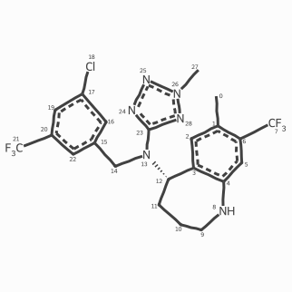 Cc1cc2c(cc1C(F)(F)F)NCCC[C@@H]2N(Cc1cc(Cl)cc(C(F)(F)F)c1)c1nnn(C)n1